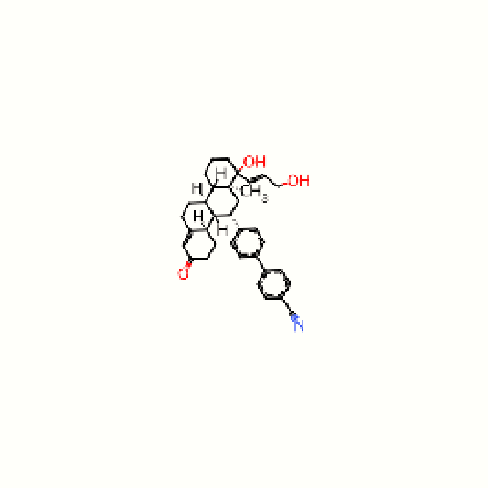 C[C@]12C[C@H](c3ccc(-c4ccc(C#N)cc4)cc3)[C@H]3[C@@H](CCC4=CC(=O)CC[C@@H]43)[C@@H]1CCCC2(O)/C=C/CO